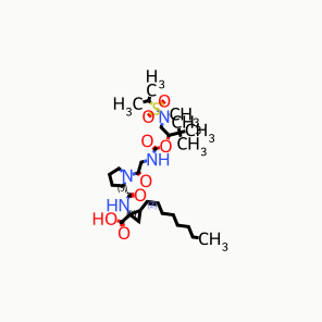 CCCCCC/C=C\C1C[C@]1(NC(=O)[C@@H]1CCCN1C(=O)CNC(=O)OC(CN(C)S(=O)(=O)C(C)C)C(C)(C)C)C(=O)O